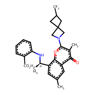 Cc1cc([C@@H](C)Nc2ccccc2C(=O)O)c2oc(N3CC4(CC(C(F)(F)F)C4)C3)c(C)c(=O)c2c1